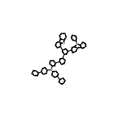 c1ccc(-c2ccc(N(c3ccc(-c4ccccc4)cc3)c3cccc(-c4cccc(-c5cc(-c6ccc7c8ccccc8n(-c8ccccc8)c7c6)cc(-c6cccc7c6oc6ccccc67)c5)c4)c3)cc2)cc1